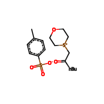 CCCCC(=O)C[S+]1CCOCC1.Cc1ccc(S(=O)(=O)[O-])cc1